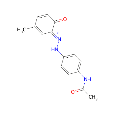 CC(=O)Nc1ccc(N/N=C2\C=C(C)C=CC2=O)cc1